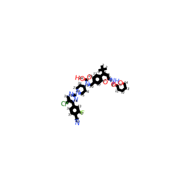 CC(C)(C)C(=CC(=O)NOC1CCCCO1)c1ccc(CN(C(=O)O)C2CCN(c3ncc(Cl)c(-c4ccc(C#N)c(F)c4)n3)CC2)cc1